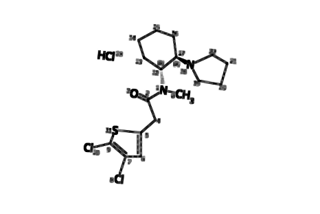 CN(C(=O)Cc1cc(Cl)c(Cl)s1)[C@@H]1CCCC[C@H]1N1CCCC1.Cl